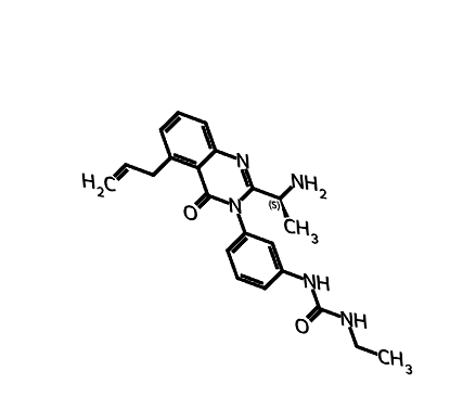 C=CCc1cccc2nc([C@H](C)N)n(-c3cccc(NC(=O)NCC)c3)c(=O)c12